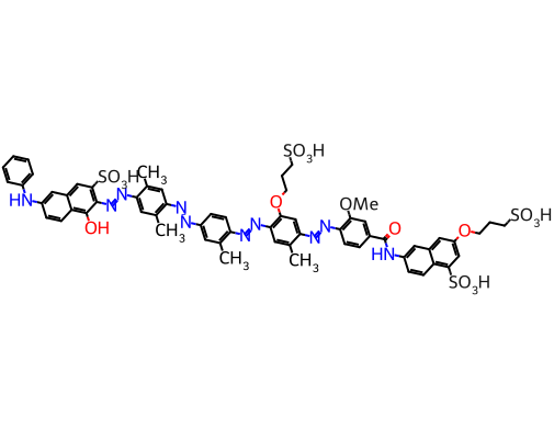 COc1cc(C(=O)Nc2ccc3c(S(=O)(=O)O)cc(OCCCS(=O)(=O)O)cc3c2)ccc1N=Nc1cc(OCCCS(=O)(=O)O)c(N=Nc2ccc(N=Nc3cc(C)c(N=Nc4c(S(=O)(=O)O)cc5cc(Nc6ccccc6)ccc5c4O)cc3C)cc2C)cc1C